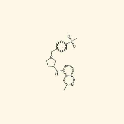 Cc1cc2c(NC3CCN(Cc4ccc(S(C)(=O)=O)cc4)C3)cccc2cn1